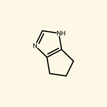 c1nc2c([nH]1)CCC2